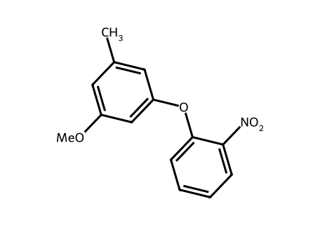 COc1cc(C)cc(Oc2ccccc2[N+](=O)[O-])c1